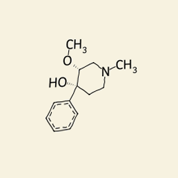 CO[C@@H]1CN(C)CC[C@@]1(O)c1ccccc1